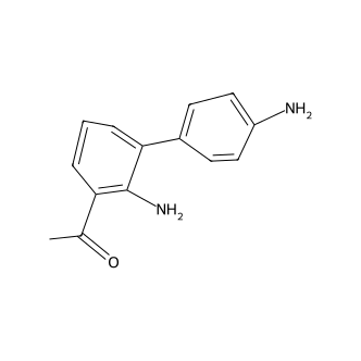 CC(=O)c1cccc(-c2ccc(N)cc2)c1N